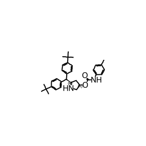 Cc1ccc(NC(=O)O[C@H]2CN[C@@H](C(c3ccc(C(C)(C)C)cc3)c3ccc(C(C)(C)C)cc3)C2)cc1